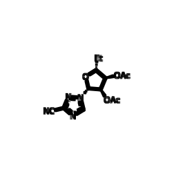 CC[C@H]1O[C@@H](n2cnc(C#N)n2)[C@H](OC(C)=O)[C@@H]1OC(C)=O